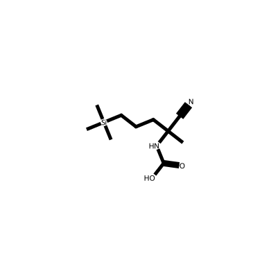 CC(C#N)(CCC[Si](C)(C)C)NC(=O)O